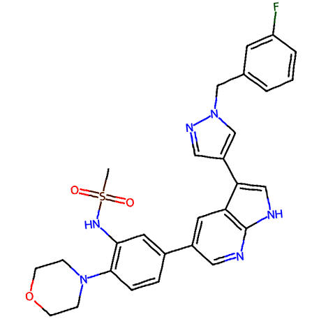 CS(=O)(=O)Nc1cc(-c2cnc3[nH]cc(-c4cnn(Cc5cccc(F)c5)c4)c3c2)ccc1N1CCOCC1